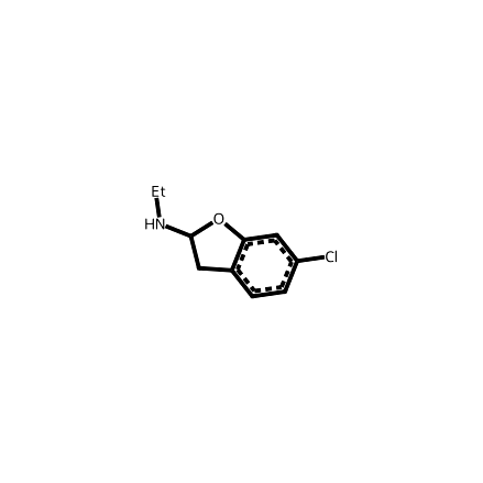 CCNC1Cc2ccc(Cl)cc2O1